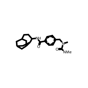 CNC(=O)N(C)Cc1ccc(C(=O)NC2CCC3CC4CC(C3)C2C4)cc1